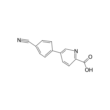 N#Cc1ccc(-c2ccc(C(=O)O)nc2)cc1